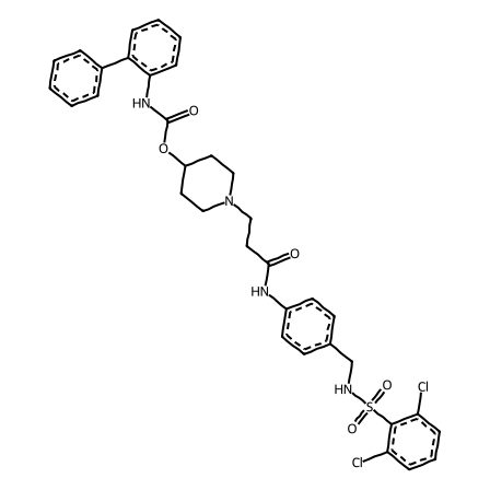 O=C(CCN1CCC(OC(=O)Nc2ccccc2-c2ccccc2)CC1)Nc1ccc(CNS(=O)(=O)c2c(Cl)cccc2Cl)cc1